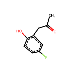 CC(=O)Cc1cc(F)ccc1O